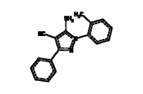 Cc1ccccc1-n1nc(-c2ccccc2)c(C#N)c1N